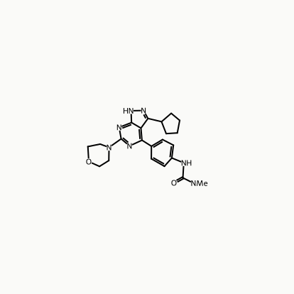 CNC(=O)Nc1ccc(-c2nc(N3CCOCC3)nc3[nH]nc(C4CCCC4)c23)cc1